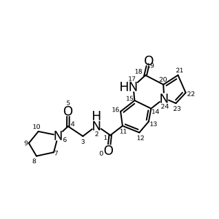 O=C(NCC(=O)N1CCCC1)c1ccc2c(c1)[nH]c(=O)c1cccn12